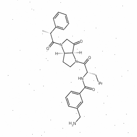 CC(C)C[C@H](NC(=O)c1cccc(CN)c1)C(=O)N1CC[C@@H]2[C@H]1C(=O)CN2C(=O)[C@H](C)c1ccccc1